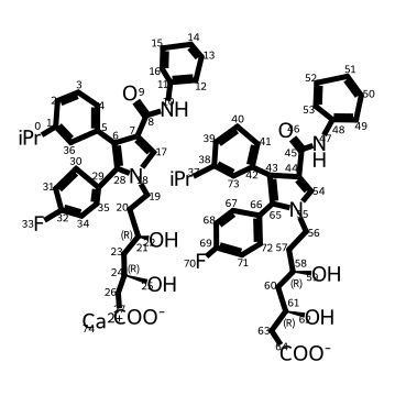 CC(C)c1cccc(-c2c(C(=O)Nc3ccccc3)cn(CC[C@@H](O)C[C@@H](O)CC(=O)[O-])c2-c2ccc(F)cc2)c1.CC(C)c1cccc(-c2c(C(=O)Nc3ccccc3)cn(CC[C@@H](O)C[C@@H](O)CC(=O)[O-])c2-c2ccc(F)cc2)c1.[Ca+2]